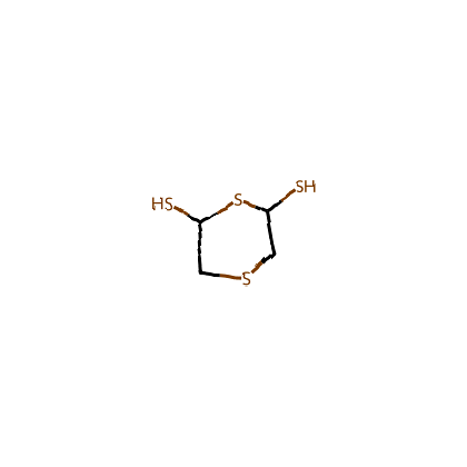 SC1CSCC(S)S1